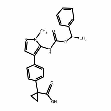 C[C@@H](OC(=O)Nc1c(-c2ccc(C3(C(=O)O)CC3)cc2)cnn1C)c1ccccc1